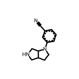 N#Cc1cccc(N2CCC3CNCC32)c1